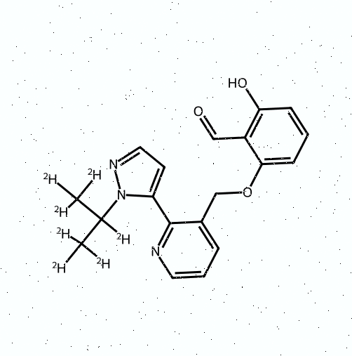 [2H]C([2H])([2H])C([2H])(n1nccc1-c1ncccc1COc1cccc(O)c1C=O)C([2H])([2H])[2H]